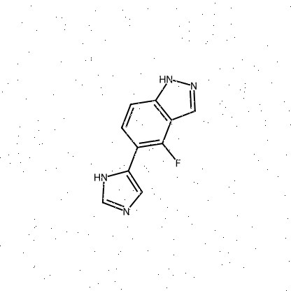 Fc1c(-c2cnc[nH]2)ccc2[nH]ncc12